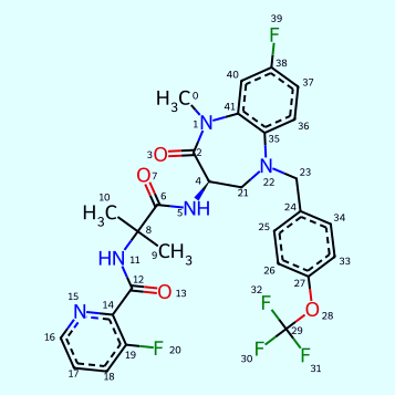 CN1C(=O)[C@H](NC(=O)C(C)(C)NC(=O)c2ncccc2F)CN(Cc2ccc(OC(F)(F)F)cc2)c2ccc(F)cc21